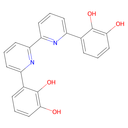 Oc1cccc(-c2cccc(-c3cccc(-c4cccc(O)c4O)n3)n2)c1O